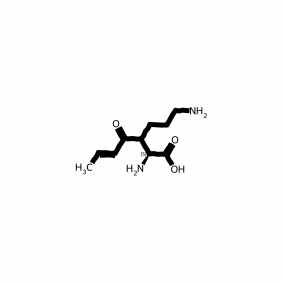 CC=CC(=O)C(CCCN)[C@H](N)C(=O)O